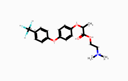 CC(Oc1ccc(Oc2ccc(C(F)(F)F)cc2)cc1)C(=O)OCCN(C)C